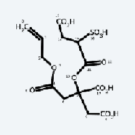 C=CCOC(=O)CC(CC(=O)O)(OC(=O)C(CC(=O)O)S(=O)(=O)O)C(=O)O